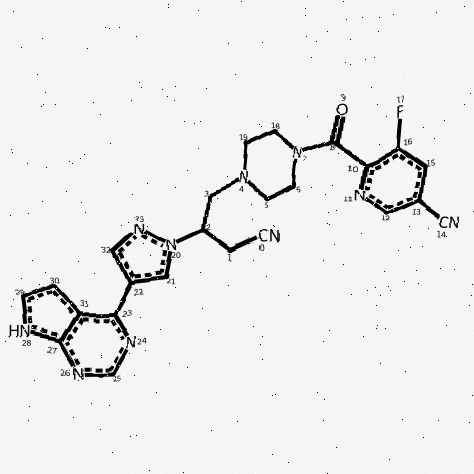 N#CCC(CN1CCN(C(=O)c2ncc(C#N)cc2F)CC1)n1cc(-c2ncnc3[nH]ccc23)cn1